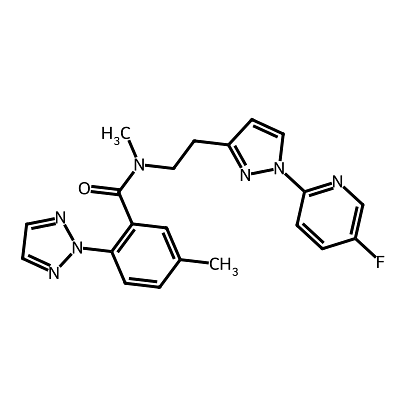 Cc1ccc(-n2nccn2)c(C(=O)N(C)CCc2ccn(-c3ccc(F)cn3)n2)c1